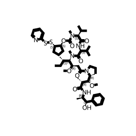 CC[C@H](C)[C@@H]([C@@H](CC(=O)N1CCC[C@@H]1[C@H](OC)[C@@H](C)C(=O)N[C@H](C)[C@@H](O)c1ccccc1)OC)N(C)C(=O)[C@@H](NC(=O)[C@H](C(C)C)N(C)C(=O)O[C@H]1CCC[C@@H]1SSc1ccccn1)C(C)C